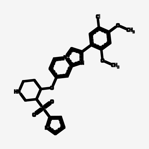 COc1cc(OC)c(-c2cn3ccc(OC4CCNCC4S(=O)(=O)c4cccs4)cc3n2)cc1Cl